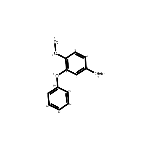 CCOc1ccc(OC)cc1Oc1ccccc1